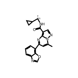 Cc1cc(-c2cccc3ncoc23)nc2c(C(=O)N[C@@H](C)C3CC3)cnn12